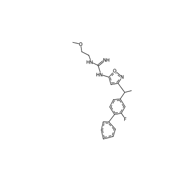 COCCNC(=N)Nc1cc(C(C)c2ccc(-c3ccccc3)c(F)c2)no1